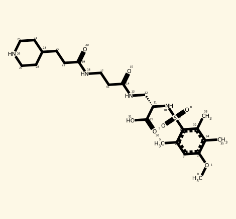 COc1cc(C)c(S(=O)(=O)N[C@@H](CNC(=O)CCNC(=O)CCC2CCNCC2)C(=O)O)c(C)c1C